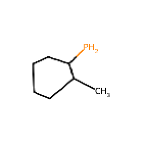 CC1CCCCC1P